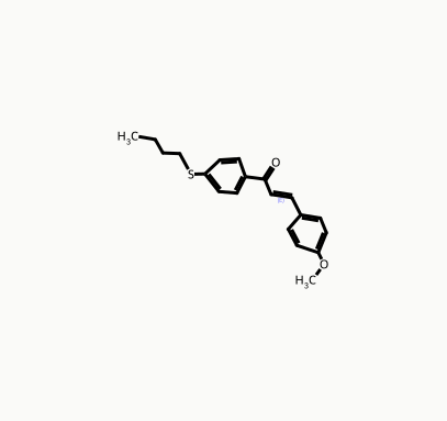 CCCCSc1ccc(C(=O)/C=C/c2ccc(OC)cc2)cc1